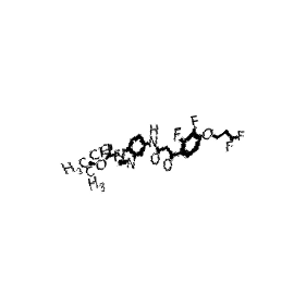 CC(C)(C)OC(=O)n1cnc2cc(NC(=O)CC(=O)c3ccc(OCCC(F)F)c(F)c3F)ccc21